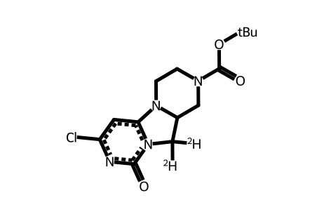 [2H]C1([2H])C2CN(C(=O)OC(C)(C)C)CCN2c2cc(Cl)nc(=O)n21